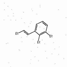 [CH2]CC=Cc1cccc(CC)c1CC